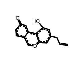 C=CCc1cc(O)c2c3cc(=O)ccc-3coc2c1